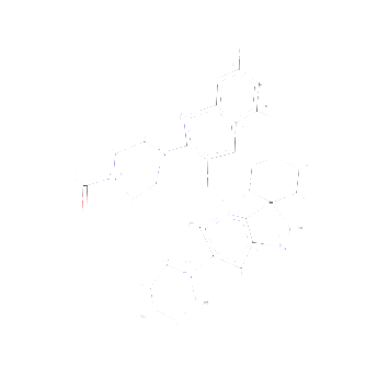 Cc1c(N2CCN(C(=O)O)CC2)nc2cc(F)cc(F)c2c1[C@H]1CC2(CCO1)CNc1cc(N3CCOCC3)cnc12